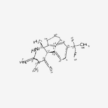 CN1C(=N)N[C@](C)(C2=CCCS2)[C@@H](c2ccc(C(C)(F)F)cc2)C1=O